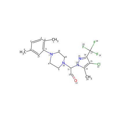 Cc1ccc(C)c(N2CCN(C(C=O)n3nc(C(F)(F)F)c(Cl)c3C)CC2)c1